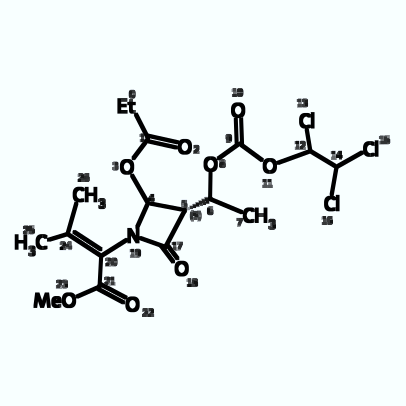 CCC(=O)OC1[C@H](C(C)OC(=O)OC(Cl)C(Cl)Cl)C(=O)N1C(C(=O)OC)=C(C)C